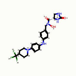 O=C1NC[C@@H](C(=O)N(O)Cc2ccc(Nc3ccc(N4CCC(C(F)(F)F)CC4)cc3)cc2)N1